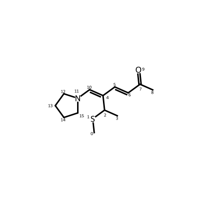 CSC(C)C(C=CC(C)=O)=CN1CCCC1